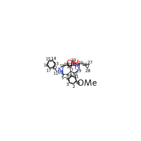 COc1ccc(C)c(C23CCN(Cc4ccccc4)CCC2(O)C(C)N(CC2CC2)CC3)c1